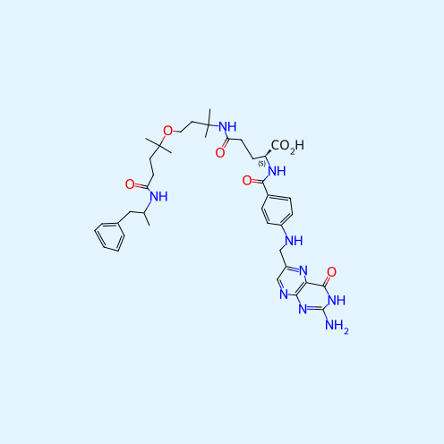 CC(Cc1ccccc1)NC(=O)CCC(C)(C)OCCC(C)(C)NC(=O)CC[C@H](NC(=O)c1ccc(NCc2cnc3nc(N)[nH]c(=O)c3n2)cc1)C(=O)O